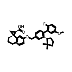 COc1ccc(F)c(-c2ccc(COc3ccc4c(c3)[C@]3(CCC4)C[C@H]3C(=O)O)cc2[C@@H]2CCCC2(C)C)c1